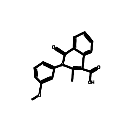 COc1cccc(-n2c(C)c(C(=O)O)c3ccccc3c2=O)c1